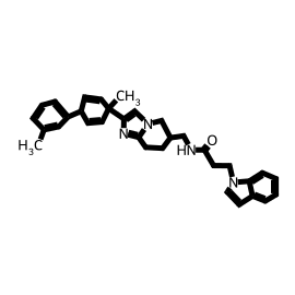 Cc1cccc(C2C=CC(C)(c3cn4c(n3)CCC(CNC(=O)CCn3ccc5ccccc53)C4)C=C2)c1